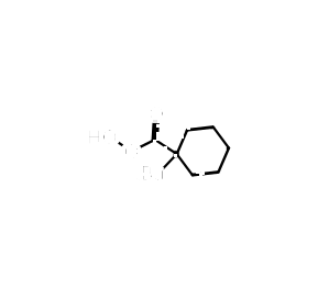 CC(C)(C)C1(C(=O)OO)CCCCC1